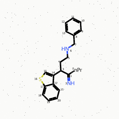 CCCC(=N)C(CCNCc1ccccc1)c1csc2ccccc12